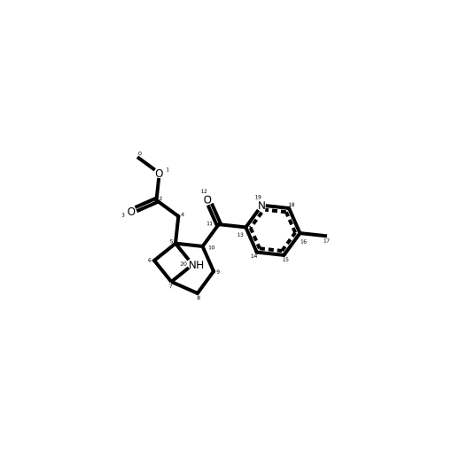 COC(=O)CC12CC(CCC1C(=O)c1ccc(C)cn1)N2